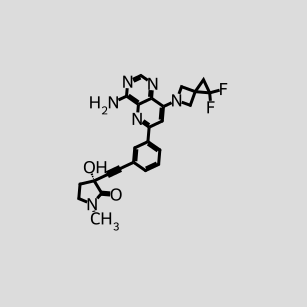 CN1CC[C@@](O)(C#Cc2cccc(-c3cc(N4CC5(C4)CC5(F)F)c4ncnc(N)c4n3)c2)C1=O